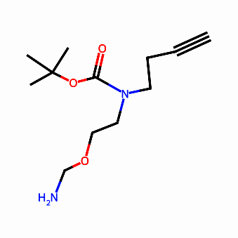 C#CCCN(CCOCN)C(=O)OC(C)(C)C